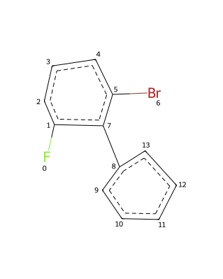 Fc1cccc(Br)c1-c1ccccc1